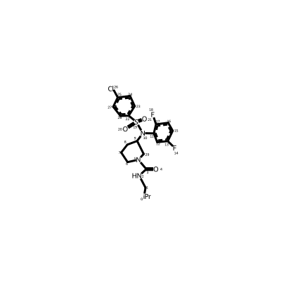 CC(C)CNC(=O)N1CCCC(N(c2cc(F)ccc2F)S(=O)(=O)c2ccc(Cl)cc2)C1